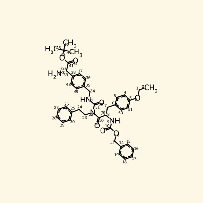 CCOc1ccc(C[C@@H](NC(=O)OCc2ccccc2)C(=O)N(CCc2ccccc2)C(=O)NCc2ccc([C@H](N)C(=O)OC(C)(C)C)cc2)cc1